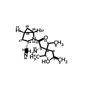 C=C(O)CC(CC)(CC)[C@H](N)C(=O)N1[C@H](C#N)C[C@@H]2C[C@@H]21